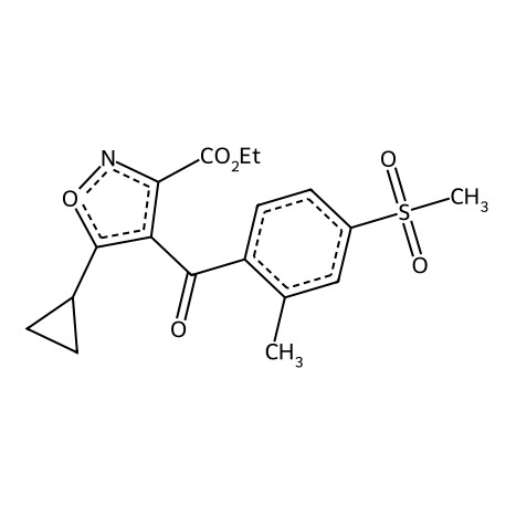 CCOC(=O)c1noc(C2CC2)c1C(=O)c1ccc(S(C)(=O)=O)cc1C